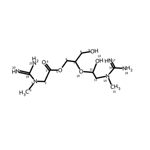 CN(CC(=O)OCC(CO)OC(O)CN(C)C(=N)N)C(=N)N